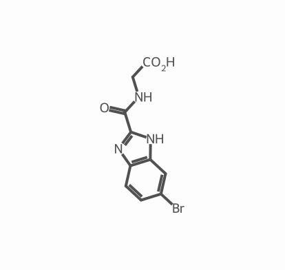 O=C(O)CNC(=O)c1nc2ccc(Br)cc2[nH]1